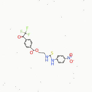 O=C(OCCNC(=S)Nc1ccc([N+](=O)[O-])cc1)c1ccc(C(=O)C(F)(F)F)cc1